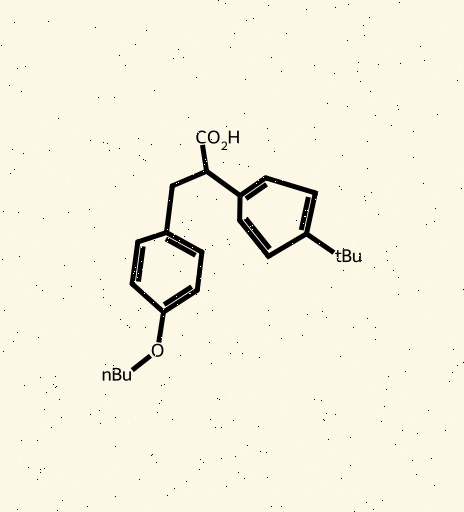 CCCCOc1ccc(CC(C(=O)O)c2ccc(C(C)(C)C)cc2)cc1